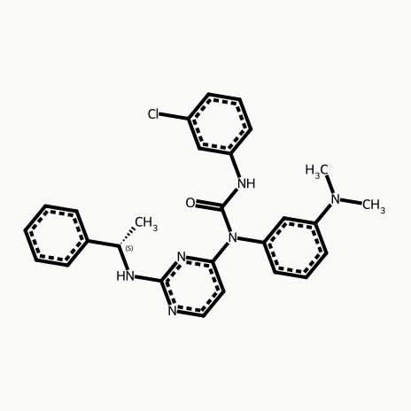 C[C@H](Nc1nccc(N(C(=O)Nc2cccc(Cl)c2)c2cccc(N(C)C)c2)n1)c1ccccc1